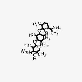 CNC1C(O)C(OC2C(N)CC(N)C(OC3OC(C(C)N)CCC3N)C2O)OCC1(C)O